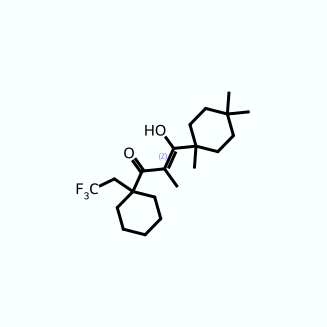 C/C(C(=O)C1(CC(F)(F)F)CCCCC1)=C(/O)C1(C)CCC(C)(C)CC1